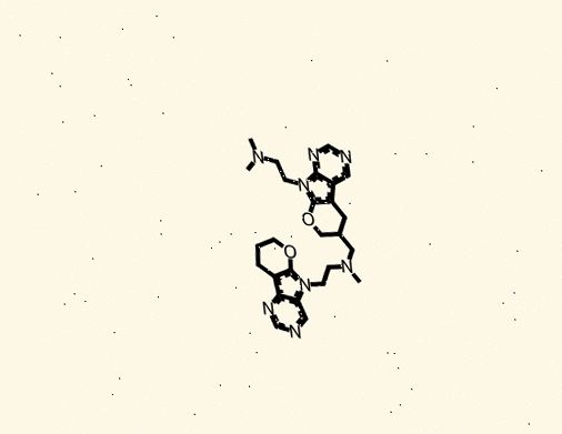 CN(C)CCn1c2c(c3cncnc31)CC(CN(C)CCn1c3c(c4ncncc41)CCCO3)CO2